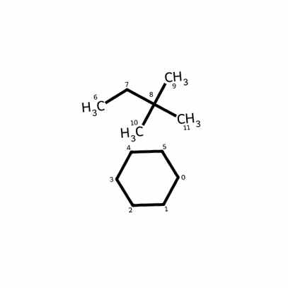 C1CCCCC1.CCC(C)(C)C